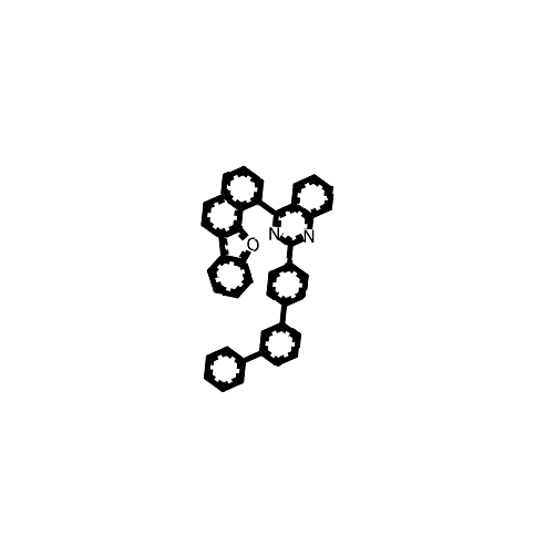 c1ccc(-c2cccc(-c3ccc(-c4nc(-c5cccc6ccc7c8ccccc8oc7c56)c5ccccc5n4)cc3)c2)cc1